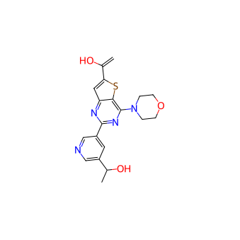 C=C(O)c1cc2nc(-c3cncc(C(C)O)c3)nc(N3CCOCC3)c2s1